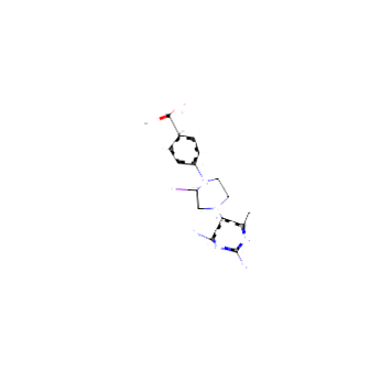 Cc1nc(N)nc(N)c1N1CCN(c2ccc(C(=O)O)cc2)C(I)C1